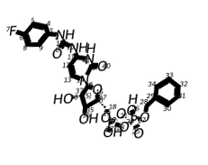 O=C(Nc1ccc(F)cc1)NC1C=CN([C@@H]2O[C@H](COP(=O)(O)OP(=O)(O)OCc3ccccc3)C(O)[C@@H]2O)C(=O)N1